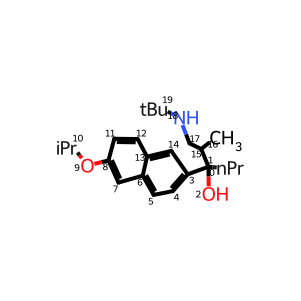 CCCC(O)(c1ccc2cc(OC(C)C)ccc2c1)C(C)CNC(C)(C)C